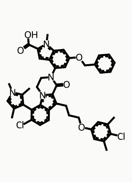 Cc1cc(OCCCc2c3n(c4c(-c5c(C)cn(C)c5C)c(Cl)ccc24)CCN(c2cc(OCc4ccccc4)cc4c2cc(C(=O)O)n4C)C3=O)cc(C)c1Cl